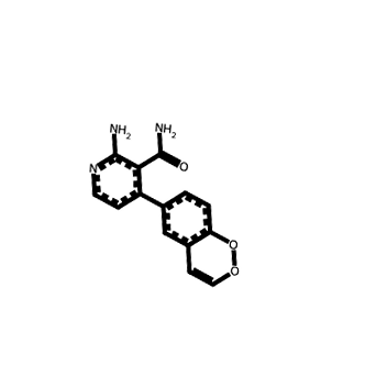 NC(=O)c1c(-c2ccc3c(c2)C=COO3)ccnc1N